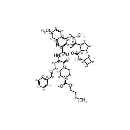 CCCCOC(=O)N1CCN(C(=O)C(CCOCc2ccccc2)NC(=O)c2cc(O[C@H](C)C(=O)N3CCCC3C(=O)NC3CCC3)c3ccc(C)cc3n2)CC1